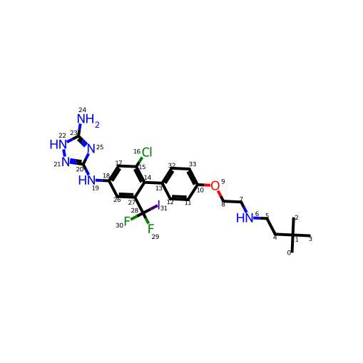 CC(C)(C)CCNCCOc1ccc(-c2c(Cl)cc(Nc3n[nH]c(N)n3)cc2C(F)(F)I)cc1